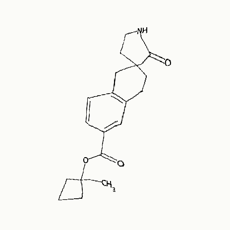 CC1(OC(=O)c2ccc3c(c2)CCC2(CCNC2=O)C3)CCC1